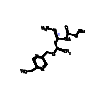 C=C(OCc1cnc(CO)cn1)S/C(=N\N)NC(=O)OC(C)(C)C